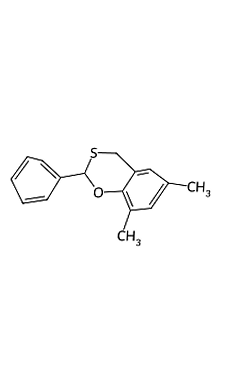 Cc1cc(C)c2c(c1)CSC(c1ccccc1)O2